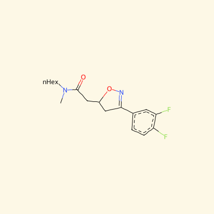 CCCCCCN(C)C(=O)CC1CC(c2ccc(F)c(F)c2)=NO1